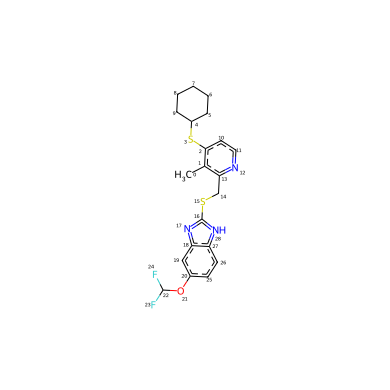 Cc1c(SC2CCCCC2)ccnc1CSc1nc2cc(OC(F)F)ccc2[nH]1